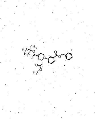 COC(=O)C[C@@H]1CN(C(=O)OC(C)(C)C)CCN1c1cccc(C(=O)OCc2ccccc2)c1